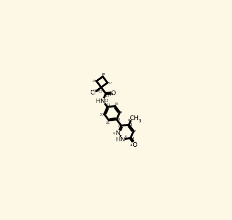 Cc1cc(=O)[nH]nc1-c1ccc(NC(=O)C2(Cl)CCC2)cc1